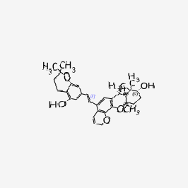 CC1(C)CCc2c(O)cc(/C=C/c3cc4c(c5c3C=CCO5)O[C@]3(C)CC[C@@H](O)C(C)(C)[C@H]3C4)cc2O1